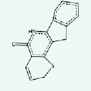 O=c1[nH]c2c(c3c1C=CCS3)Cc1ccccc1-2